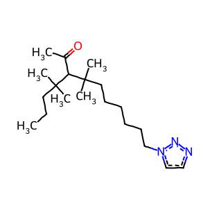 CCCC(C)(C)C(C(C)=O)C(C)(C)CCCCCCn1ccnn1